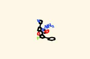 NC1=N[C@@]2(CO1)c1cc(-c3cccnc3)ccc1Oc1c(F)cc(C3=CCCCC3)cc12